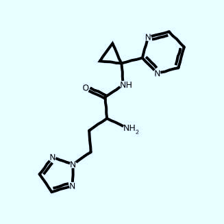 NC(CCn1nccn1)C(=O)NC1(c2ncccn2)CC1